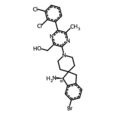 Cc1nc(N2CCC3(CC2)Cc2ccc(Br)cc2[C@H]3N)c(CO)nc1-c1cccc(Cl)c1Cl